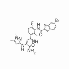 Cc1c(C(=N)/C=C(/Nc2cc(C)n(C)n2)C(N)=O)ccc(F)c1NC(=O)c1cc2ccc(Br)cc2s1